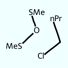 CCCCCl.CSOSC